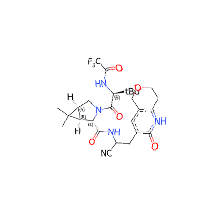 CC(C)(C)[C@H](NC(=O)C(F)(F)F)C(=O)N1C[C@H]2[C@@H]([C@H]1C(=O)NC(C#N)Cc1cc3c([nH]c1=O)CCOC3)C2(C)C